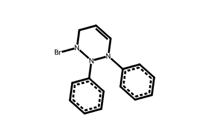 BrN1CC=CN(c2ccccc2)N1c1ccccc1